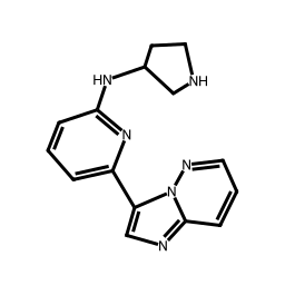 c1cc(NC2CCNC2)nc(-c2cnc3cccnn23)c1